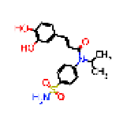 CC(C)N(C(=O)/C=C/c1ccc(O)c(O)c1)c1ccc(S(N)(=O)=O)cc1